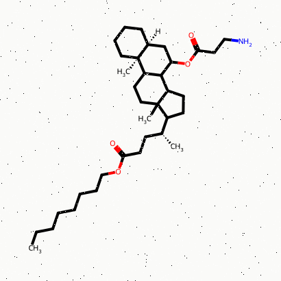 CCCCCCCCOC(=O)CC[C@@H](C)C1CCC2C3C(OC(=O)CCN)C[C@@H]4CCCC[C@]4(C)C3CCC21C